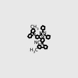 Cc1ccc2c(c1)c1ccccc1n2-c1ccc(-c2cccc(-n3c4ccccc4c4cc(C)ccc43)c2C#N)c(-c2nc(-c3ccccc3)nc(-c3ccccc3)n2)c1